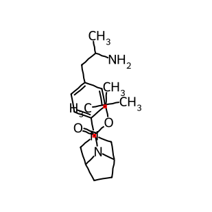 CC(N)Cc1ccc(N2CC3CCC(C2)N3C(=O)OC(C)(C)C)cc1